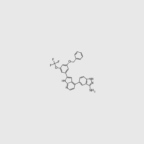 Nc1n[nH]c2ccc(-c3ccnc4[nH]c(-c5cc(OCc6ccccc6)cc(OC(F)(F)F)c5)cc34)cc12